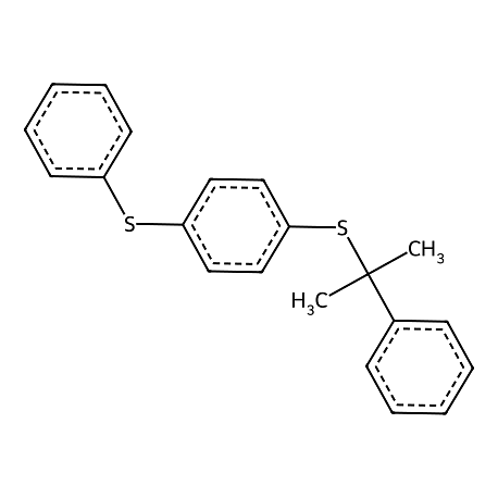 CC(C)(Sc1ccc(Sc2ccccc2)cc1)c1ccccc1